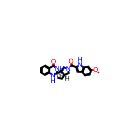 COc1ccc2cc(C(=O)N3C[C@H]4CC[C@]5(NC(=O)c6ccccc6N5)[C@H]4C3)[nH]c2c1